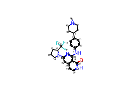 CN1CCC(c2ccc(Nc3nc(N4CCC[C@H]4C(F)(F)F)cc4cc[nH]c(=O)c34)cc2)CC1